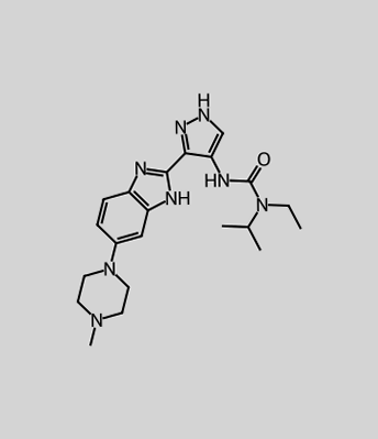 CCN(C(=O)Nc1c[nH]nc1-c1nc2ccc(N3CCN(C)CC3)cc2[nH]1)C(C)C